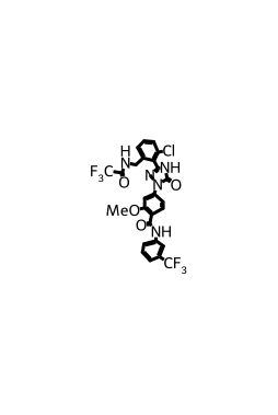 COc1cc(-n2nc(-c3c(Cl)cccc3CNC(=O)C(F)(F)F)[nH]c2=O)ccc1C(=O)Nc1cccc(C(F)(F)F)c1